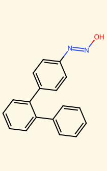 ON=Nc1ccc(-c2ccccc2-c2ccccc2)cc1